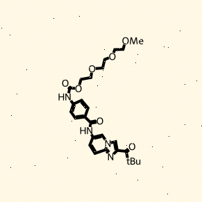 COCCOCCOCCOC(=O)Nc1ccc(C(=O)Nc2ccc3nc(C(=O)C(C)(C)C)cn3c2)cc1